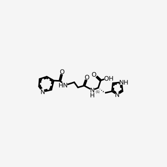 O=C(CCNC(=O)c1cccnc1)N[C@@H](Cc1c[nH]cn1)C(=O)O